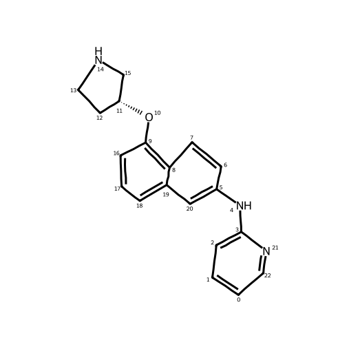 c1ccc(Nc2ccc3c(O[C@@H]4CCNC4)cccc3c2)nc1